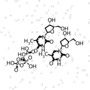 Cc1cn([C@H]2C[C@H](O)[C@@H](CO)O2)c(=O)[nH]c1=O.Cc1cn([C@H]2C[C@H](O)[C@@H](CO)O2)c(=O)[nH]c1=O.O=P(O)(O)OP(=O)(O)OP(=O)(O)O